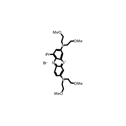 COCCN(CCOC)c1ccc2nc3c(C(C)C)cc(N(CCOC)CCOC)cc3[s+]c2c1.[Br-]